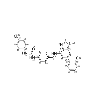 Cc1cnn2c(NCc3ccc(NC(=O)Nc4ccc(Cl)cc4)cc3)cc(-c3ccccc3Cl)nc12